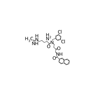 CC(=N)NCCC[C@H](N)C(=O)N(CCC(=O)CNC(=O)c1ccc2ccccc2c1)Cc1cc(Cl)cc(Cl)c1